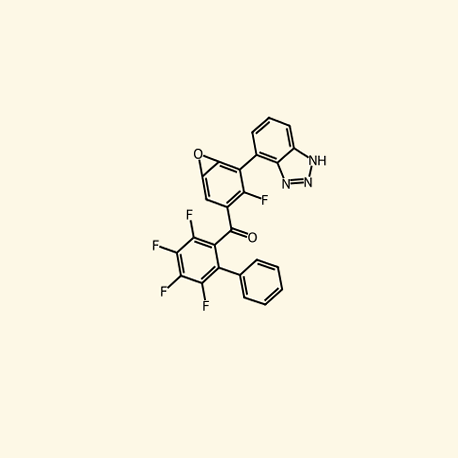 O=C(c1cc2c(c(-c3cccc4[nH]nnc34)c1F)O2)c1c(F)c(F)c(F)c(F)c1-c1ccccc1